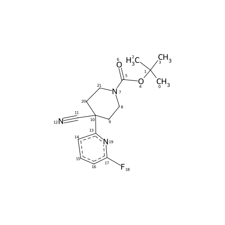 CC(C)(C)OC(=O)N1CCC(C#N)(c2cccc(F)n2)CC1